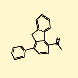 CNc1ccc(-c2ccccc2)c2c1-c1ccccc1C2